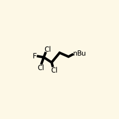 CCCCCCC(Cl)C(F)(Cl)Cl